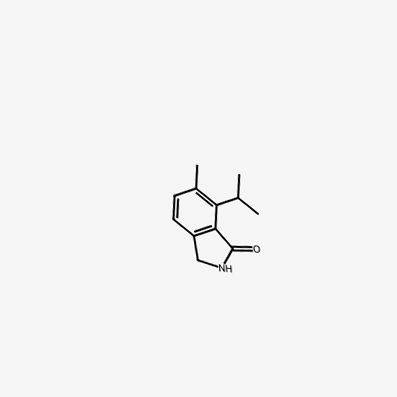 Cc1ccc2c(c1C(C)C)C(=O)NC2